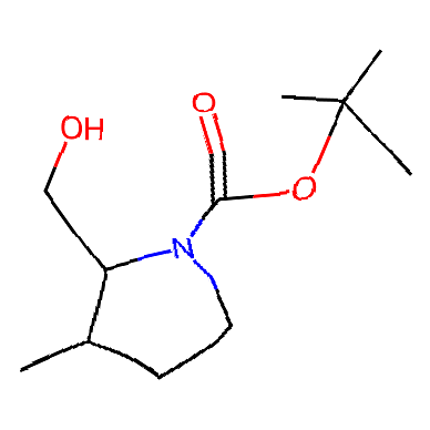 CC1CCN(C(=O)OC(C)(C)C)C1CO